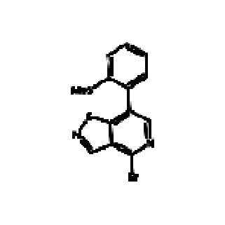 CSc1ccccc1-c1cnc(Br)c2cnsc12